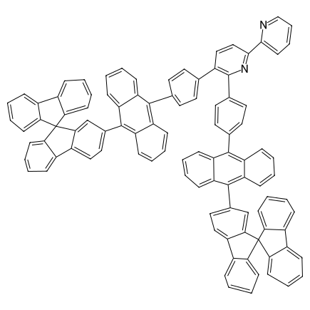 c1ccc(-c2ccc(-c3ccc(-c4c5ccccc5c(-c5ccc6c(c5)C5(c7ccccc7-c7ccccc75)c5ccccc5-6)c5ccccc45)cc3)c(-c3ccc(-c4c5ccccc5c(-c5ccc6c(c5)C5(c7ccccc7-c7ccccc75)c5ccccc5-6)c5ccccc45)cc3)n2)nc1